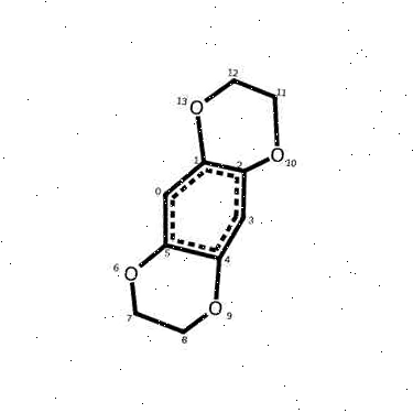 c1c2c(cc3c1OCCO3)OCCO2